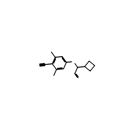 Cc1cc(OC(C=O)C2CCC2)cc(C)c1C#N